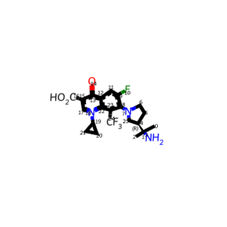 CC(C)(N)[C@@H]1CCN(c2c(F)cc3c(=O)c(C(=O)O)cn(C4CC4)c3c2C(F)(F)F)C1